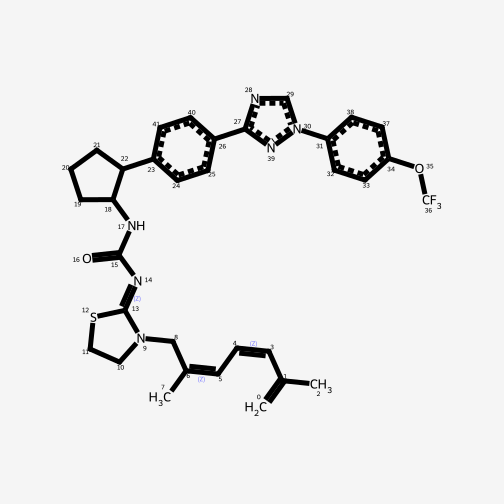 C=C(C)/C=C\C=C(\C)CN1CCS/C1=N\C(=O)NC1CCCC1c1ccc(-c2ncn(-c3ccc(OC(F)(F)F)cc3)n2)cc1